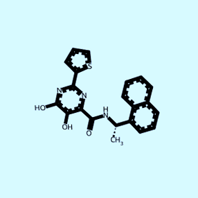 C[C@H](NC(=O)c1nc(-c2cccs2)nc(O)c1O)c1cccc2ccccc12